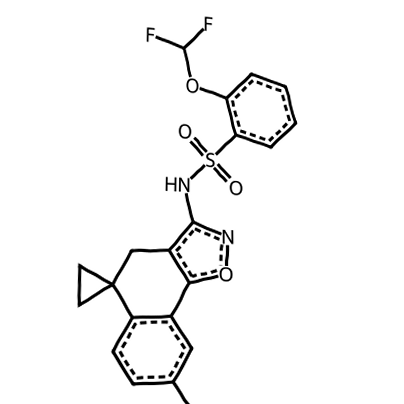 O=S(=O)(Nc1noc2c1CC1(CC1)c1ccc(Br)cc1-2)c1ccccc1OC(F)F